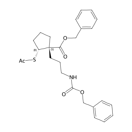 CC(=O)S[C@@H]1CCC[C@]1(CCCNC(=O)OCc1ccccc1)C(=O)OCc1ccccc1